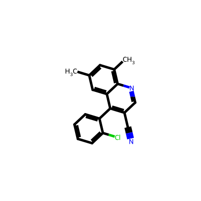 Cc1cc(C)c2ncc(C#N)c(-c3ccccc3Cl)c2c1